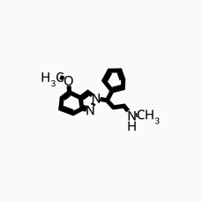 CNCCC(c1ccccc1)n1cc2c(OC)cccc2n1